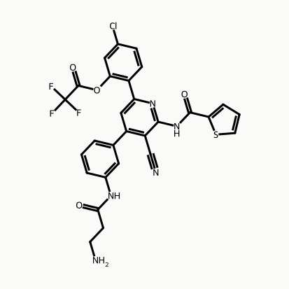 N#Cc1c(-c2cccc(NC(=O)CCN)c2)cc(-c2ccc(Cl)cc2OC(=O)C(F)(F)F)nc1NC(=O)c1cccs1